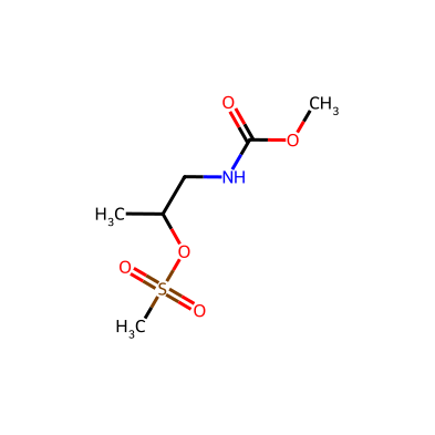 COC(=O)NCC(C)OS(C)(=O)=O